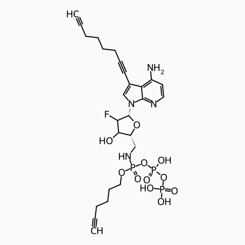 C#CCCCCC#Cc1cn([C@@H]2O[C@H](CNP(=O)(OCCCCC#C)OP(=O)(O)OP(=O)(O)O)C(O)C2F)c2nccc(N)c12